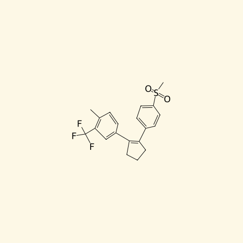 Cc1ccc(C2=C(c3ccc(S(C)(=O)=O)cc3)CCC2)cc1C(F)(F)F